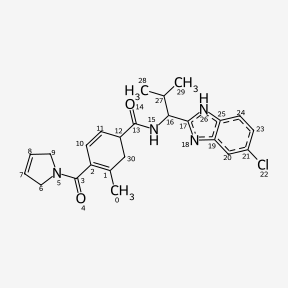 CC1=C(C(=O)N2CC=CC2)C=CC(C(=O)NC(c2nc3cc(Cl)ccc3[nH]2)C(C)C)C1